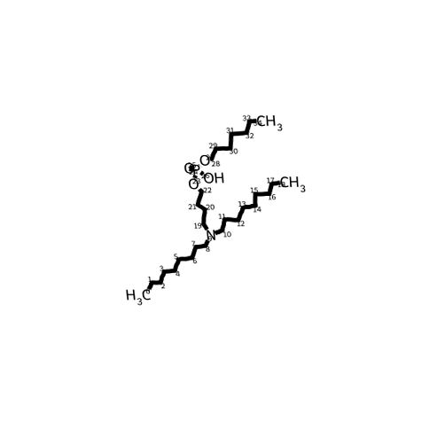 CCCCCCCCCN(CCCCCCCCC)CCCCOP(=O)(O)OCCCCCCC